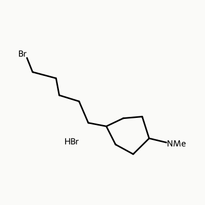 Br.CNC1CCC(CCCCCBr)CC1